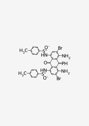 Cc1ccc([S+]([O-])Nc2cc(Br)c(N)c3c2C(=O)c2c(N[S+]([O-])c4ccc(C)cc4)cc(Br)c(N)c2C3=P)cc1